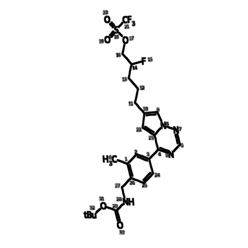 Cc1cc(-c2ncnn3cc(CCCC(F)COS(=O)(=O)C(F)(F)F)cc23)ccc1CNC(=O)OC(C)(C)C